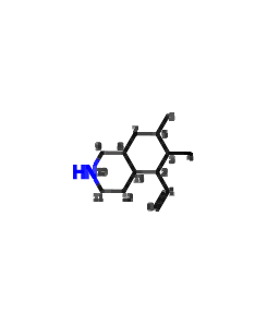 C=CC1C(C)C(C)CC2CNCCC21